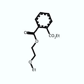 CCOCCOC(=O)c1ccccc1C(=O)OCC